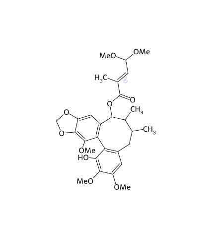 COc1cc2c(c(O)c1OC)-c1c(cc3c(c1OC)OCO3)C(OC(=O)/C(C)=C/C(OC)OC)C(C)C(C)C2